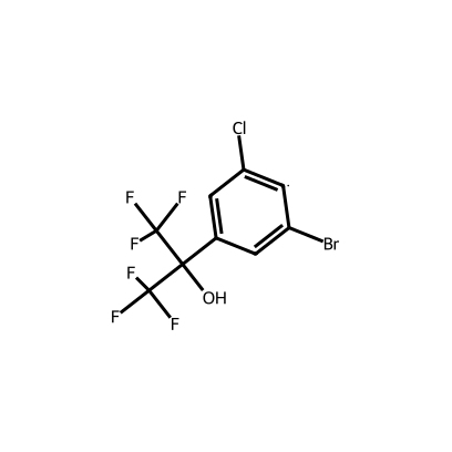 OC(c1cc(Cl)[c]c(Br)c1)(C(F)(F)F)C(F)(F)F